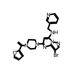 C=C(c1ccco1)N1CCN(c2cc(NCc3cccnc3)n3ncc(Br)c3n2)CC1